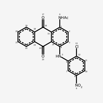 CC(=O)Nc1ccc(Nc2cc([N+](=O)[O-])ccc2Cl)c2c1C(=O)c1ccccc1C2=O